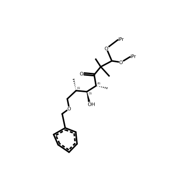 CC(C)OC(OC(C)C)C(C)(C)C(=O)[C@H](C)[C@@H](O)[C@@H](C)COCc1ccccc1